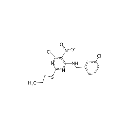 CCCSc1nc(Cl)c([N+](=O)[O-])c(NCc2cccc(Cl)c2)n1